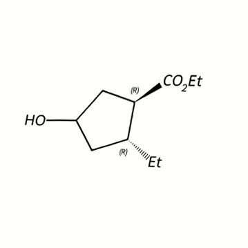 CCOC(=O)[C@@H]1CC(O)C[C@H]1CC